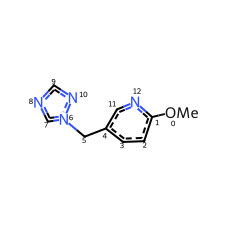 COc1ccc(Cn2cncn2)cn1